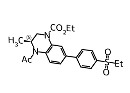 CCOC(=O)N1C[C@H](C)N(C(C)=O)c2ccc(-c3ccc(S(=O)(=O)CC)cc3)cc21